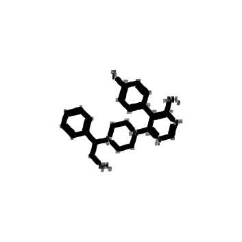 NCC(c1ccccc1)N1CCN(c2ncnc(N)c2-c2ccc(F)cc2)CC1